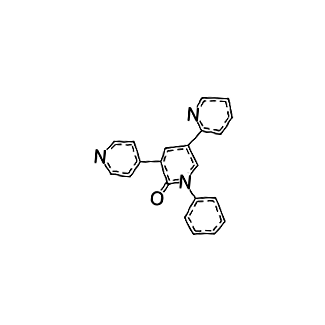 O=c1c(-c2ccncc2)cc(-c2ccccn2)cn1-c1ccccc1